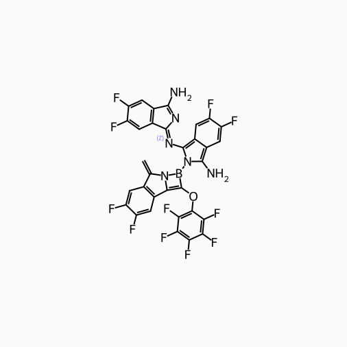 C=c1c2cc(F)c(F)cc2c2n1B(n1c(N)c3cc(F)c(F)cc3c1/N=C1\N=C(N)c3cc(F)c(F)cc31)C=2Oc1c(F)c(F)c(F)c(F)c1F